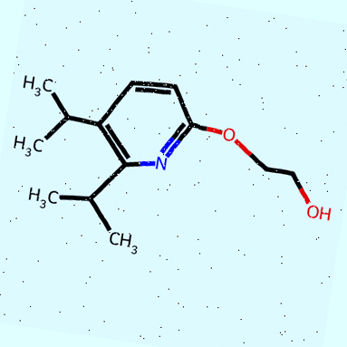 CC(C)c1ccc(OCCO)nc1C(C)C